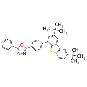 CC(C)(C)c1ccc2sc3c(-c4ccc(-c5nnc(-c6ccccc6)o5)cc4)cc(C(C)(C)C)cc3c2c1